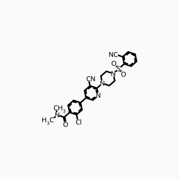 CN(C)C(=O)c1ccc(-c2cnc(N3CCN(S(=O)(=O)c4ccccc4C#N)CC3)c(C#N)c2)cc1Cl